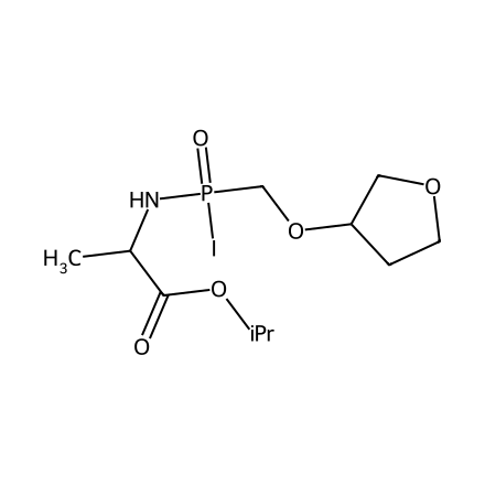 CC(C)OC(=O)C(C)NP(=O)(I)COC1CCOC1